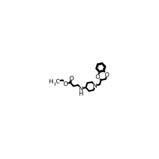 CCOC(=O)CCNC1CCN(CC2COc3ccccc3O2)CC1